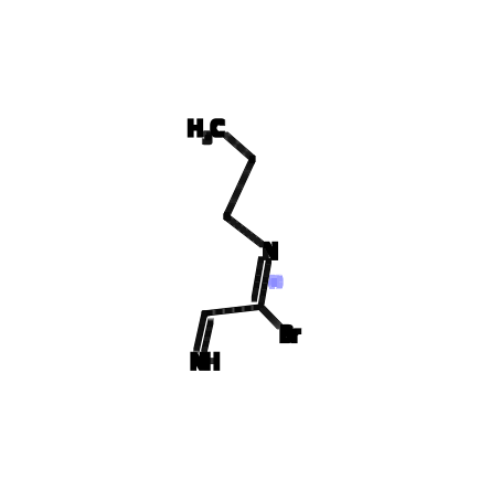 CCC/N=C(/Br)C=N